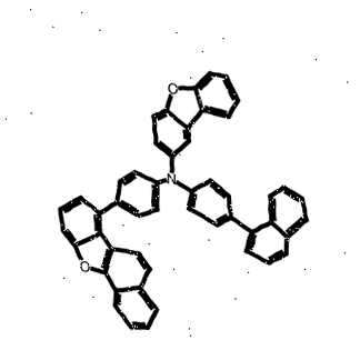 c1ccc2c(-c3ccc(N(c4ccc(-c5cccc6oc7c8ccccc8ccc7c56)cc4)c4ccc5oc6ccccc6c5c4)cc3)cccc2c1